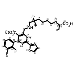 CCOC(=O)C1=C(CNCC(F)(F)CCCCN[C@@H](C)C(=O)O)NC(c2nccs2)=N[C@H]1c1cccc(F)c1C